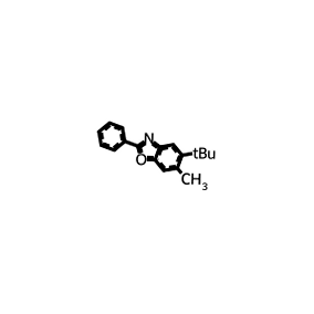 Cc1cc2oc(-c3ccccc3)nc2cc1C(C)(C)C